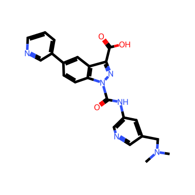 CN(C)Cc1cncc(NC(=O)n2nc(C(=O)O)c3cc(-c4cccnc4)ccc32)c1